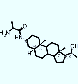 CC(N)C(=O)N[C@@H]1CC[C@]2(C)C3CC[C@@]4(C)C(CC[C@@H]4[C@H](C)O)C3CC[C@H]2C1